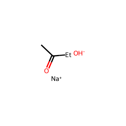 CCC(C)=O.[Na+].[OH-]